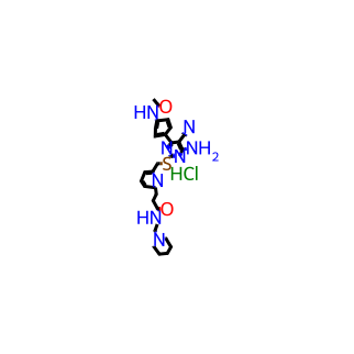 CC(=O)Nc1ccc(-c2nc(SCc3cccc(CCC(=O)NCCN4CCCCC4)n3)nc(N)c2C#N)cc1.Cl